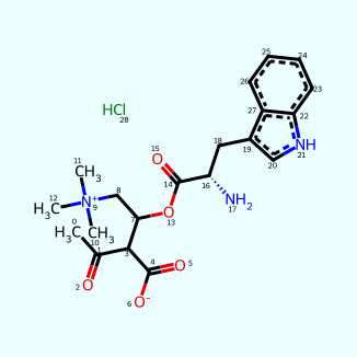 CC(=O)C(C(=O)[O-])C(C[N+](C)(C)C)OC(=O)[C@@H](N)Cc1c[nH]c2ccccc12.Cl